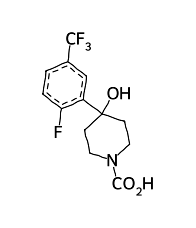 O=C(O)N1CCC(O)(c2cc(C(F)(F)F)ccc2F)CC1